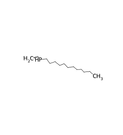 C=CPCCCCCCCCCCCC